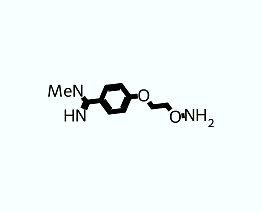 CNC(=N)c1ccc(OCCON)cc1